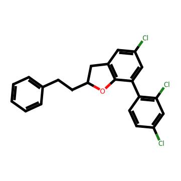 Clc1ccc(-c2cc(Cl)cc3c2OC([CH]Cc2ccccc2)C3)c(Cl)c1